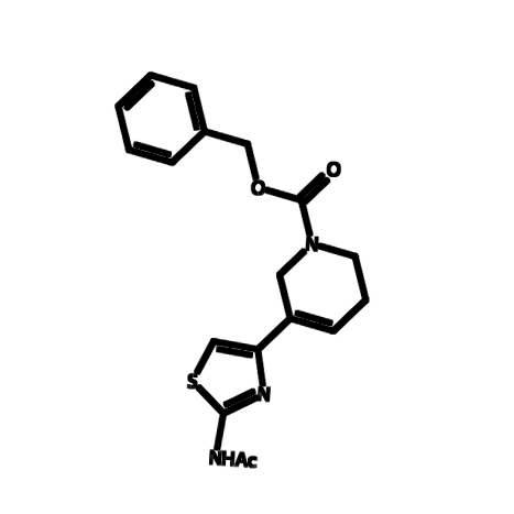 CC(=O)Nc1nc(C2=CCCN(C(=O)OCc3ccccc3)C2)cs1